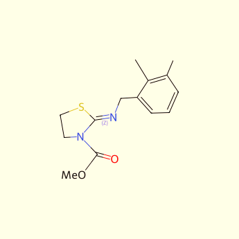 COC(=O)N1CCS/C1=N\Cc1cccc(C)c1C